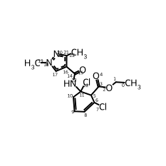 CCOC(=O)C1C(Cl)=CC=CC1(Cl)NC(=O)c1cn(C)nc1C